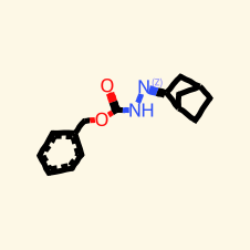 O=C(N/N=C1/CC2CCC1C2)OCc1ccccc1